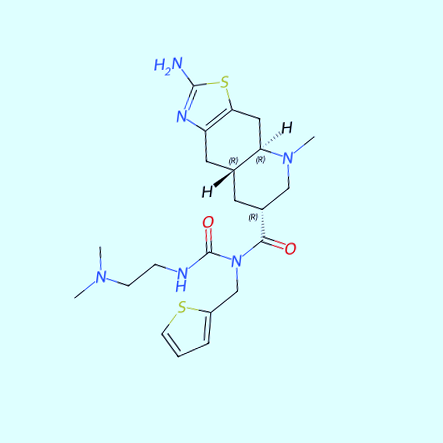 CN(C)CCNC(=O)N(Cc1cccs1)C(=O)[C@@H]1C[C@@H]2Cc3nc(N)sc3C[C@H]2N(C)C1